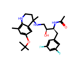 CC(=O)N[C@@H](Cc1cc(F)cc(F)c1)[C@@H](O)CNC1(C)CCNc2c(C)cc(OC(C)(C)C)cc21